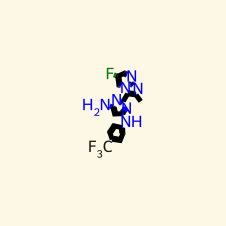 Cc1nc2ncc(F)cn2c1-c1nc(N)cc(Nc2ccc(C(F)(F)F)cc2)n1